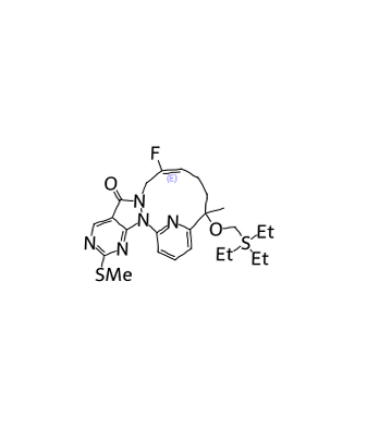 CCS(CC)(CC)COC1(C)CC/C=C(/F)Cn2c(=O)c3cnc(SC)nc3n2-c2cccc1n2